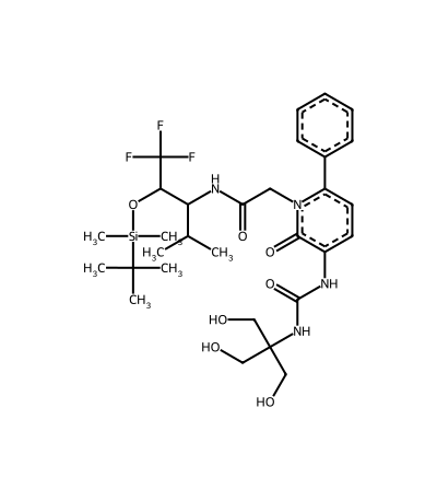 CC(C)C(NC(=O)Cn1c(-c2ccccc2)ccc(NC(=O)NC(CO)(CO)CO)c1=O)C(O[Si](C)(C)C(C)(C)C)C(F)(F)F